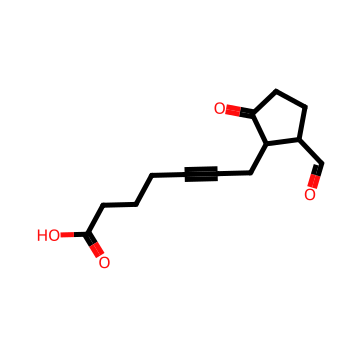 O=CC1CCC(=O)C1CC#CCCCC(=O)O